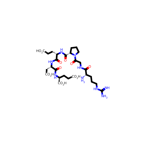 N=C(N)NCCC[C@H](N)C(=O)NCC(=O)N1CCC[C@H]1C(=O)N[C@@H](CCC(=O)O)C(=O)N[C@@H](CC(=O)O)C(=O)N[C@@H](CCC(=O)O)C(=O)O